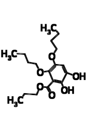 CCCCOc1cc(O)c(O)c(C(=O)OCCC)c1OCCCC